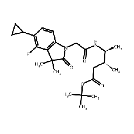 C[C@H](CC(=O)OC(C)(C)C)[C@H](C)NC(=O)CN1C(=O)C(C)(C)c2c1ccc(C1CC1)c2F